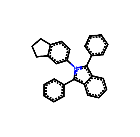 c1ccc(-c2c3ccccc3c(-c3ccccc3)n2-c2ccc3c(c2)CCC3)cc1